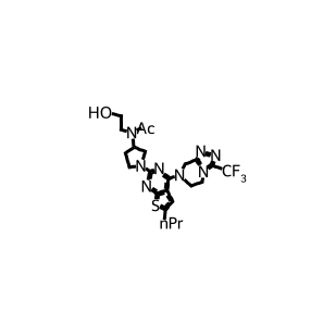 CCCc1cc2c(N3CCn4c(nnc4C(F)(F)F)C3)nc(N3CCC(N(CCO)C(C)=O)C3)nc2s1